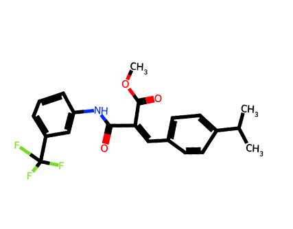 COC(=O)C(=Cc1ccc(C(C)C)cc1)C(=O)Nc1cccc(C(F)(F)F)c1